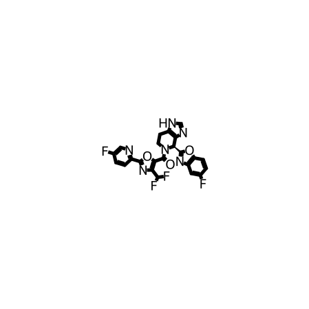 O=C(c1oc(-c2ccc(F)cn2)nc1C(F)F)N1CCc2[nH]cnc2[C@H]1c1nc2cc(F)ccc2o1